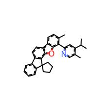 Cc1cnc(-c2c(C)ccc3c2oc2c4c(ccc23)-c2ccccc2C42CCCC2)cc1C(C)C